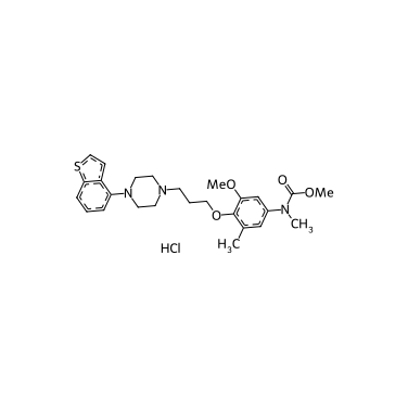 COC(=O)N(C)c1cc(C)c(OCCCN2CCN(c3cccc4sccc34)CC2)c(OC)c1.Cl